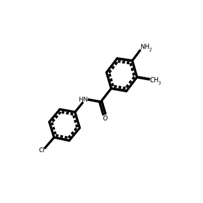 Cc1cc(C(=O)Nc2ccc(Cl)cc2)ccc1N